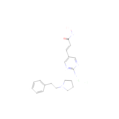 Cl.Cl.O=C(/C=C/c1cnc(N[C@@H]2CCN(CCc3ccccc3)C2)nc1)NO